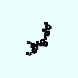 CCc1cncc(Nc2cc(COc3ccc(NC(=O)Nc4cc(C(C)(C)C)nn4-c4cccc(C)c4)c4ccccc34)ccn2)n1